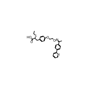 CCSC(Cc1ccc(OCCO/N=C(/C)c2ccc(-c3ccccn3)cc2)cc1)C(=O)O